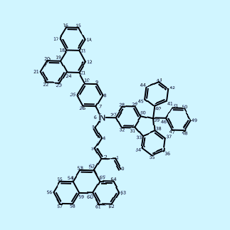 C=C/C(=C\C=C\N(c1ccc(-c2cc3ccccc3c3ccccc23)cc1)c1ccc2c(c1)-c1ccccc1C2(c1ccccc1)c1ccccc1)c1cc2ccccc2c2ccccc12